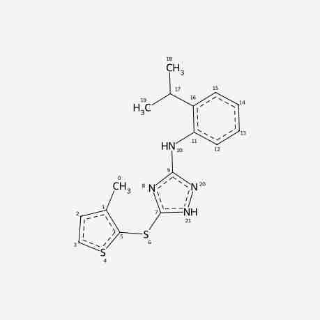 Cc1ccsc1Sc1nc(Nc2ccccc2C(C)C)n[nH]1